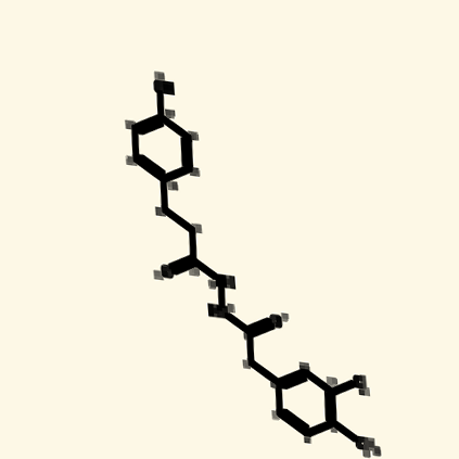 Cc1ccc(CC(=O)NNC(=O)CCc2ccc(O)cc2)cc1Cl